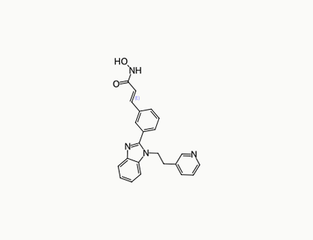 O=C(/C=C/c1cccc(-c2nc3ccccc3n2CCc2cccnc2)c1)NO